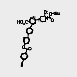 C#Cc1ccc(C(=O)Oc2ccc(-c3ccc(-c4cc(N5CCN(C(=O)OC(C)(C)C)C(CC)C5)ncc4C(=O)O)cc3)cc2)cc1